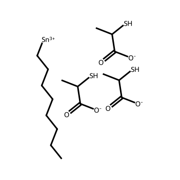 CC(S)C(=O)[O-].CC(S)C(=O)[O-].CC(S)C(=O)[O-].CCCCCCC[CH2][Sn+3]